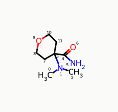 CN(C)C1(C(N)=O)CCOCC1